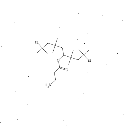 CCC(C)(C)CC(C)(C)CC(OC(=O)CCN)C(C)(C)CC(C)(C)CC